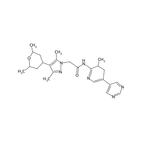 Cc1nn(CC(=O)NC2=NC=C(c3cncnc3)CC2C)c(C)c1C1CC(C)OC(C)C1